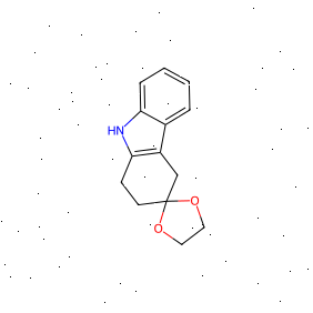 c1ccc2c3c([nH]c2c1)CCC1(C3)OCCO1